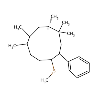 CSC1CCC(C)C(C)C[C@H](C)C(C)(C)CC1c1ccccc1